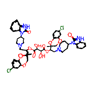 CC1(C(CN2CCC(n3c(=O)[nH]c4ccccc43)CC2)OC(=O)C(O)C(O)C(=O)OC(CN2CCC(n3c(=O)[nH]c4ccccc43)CC2)C2(C)COc3cc(Cl)ccc3O2)COc2cc(Cl)ccc2O1